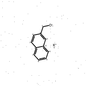 [K+].[O-]Cc1ccc2ccccc2c1